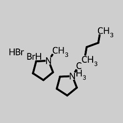 Br.Br.CCCC.CN1CCCC1.CN1CCCC1